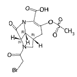 CS(=O)(=O)OC1=C(C(=O)O)N2C(=O)[C@@H]3[C@H]2[C@H](C1)CN3C(=O)CBr